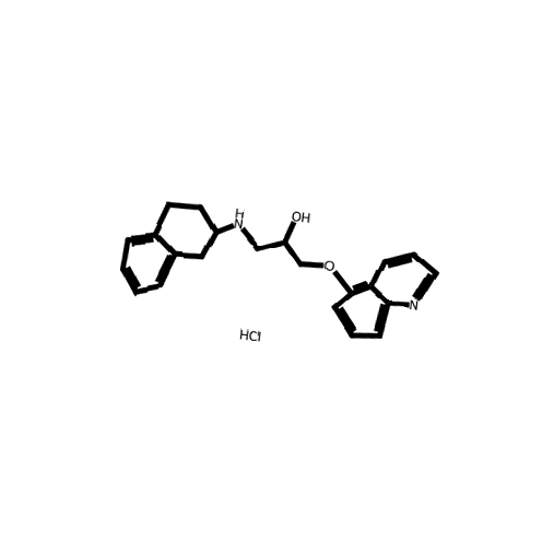 Cl.OC(CNC1CCc2ccccc2C1)COc1cccc2ncccc12